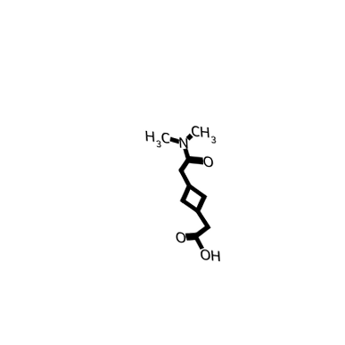 CN(C)C(=O)CC1CC(CC(=O)O)C1